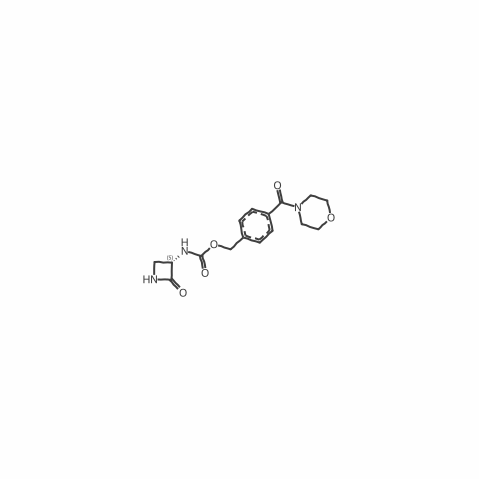 O=C(N[C@H]1CNC1=O)OCc1ccc(C(=O)N2CCOCC2)cc1